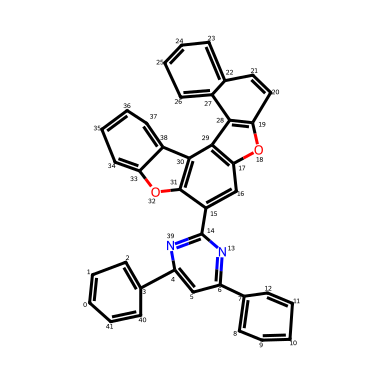 c1ccc(-c2cc(-c3ccccc3)nc(-c3cc4oc5ccc6ccccc6c5c4c4c3oc3ccccc34)n2)cc1